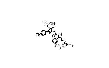 NC(=O)OCCC(NC(=O)Cn1nc(-c2ccc(Cl)cc2)n(C[C@H](O)C(F)(F)F)c1=O)c1cccc(C(F)(F)F)c1